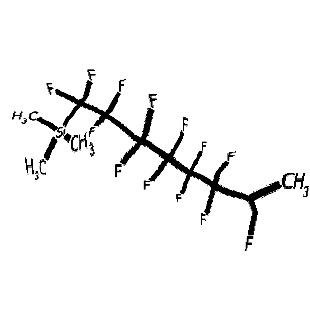 CC(F)C(F)(F)C(F)(F)C(F)(F)C(F)(F)C(F)(F)C(F)(F)[Si](C)(C)C